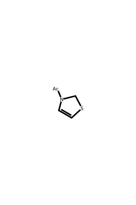 CC(=O)N1C=CSC1